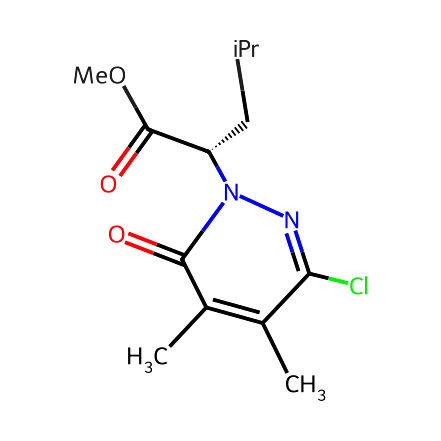 COC(=O)[C@H](CC(C)C)n1nc(Cl)c(C)c(C)c1=O